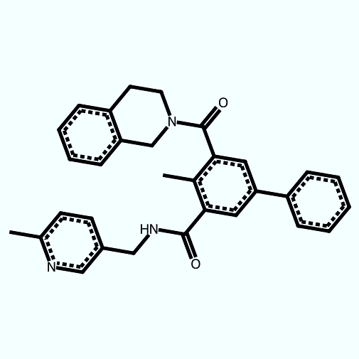 Cc1ccc(CNC(=O)c2cc(-c3ccccc3)cc(C(=O)N3CCc4ccccc4C3)c2C)cn1